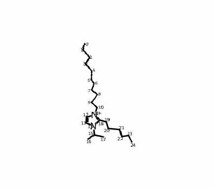 CCCCCCCCCCC[n+]1ccn(C(C)C)c1CCCCCC